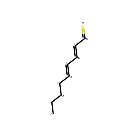 CCCCC=CC=CC=S